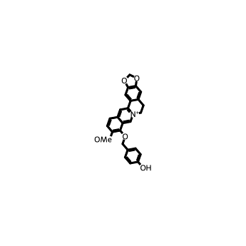 COc1ccc2cc3[n+](cc2c1OCc1ccc(O)cc1)CCc1cc2c(cc1-3)OCO2